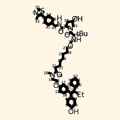 CC/C(=C(\c1ccc(O)cc1)c1ccc(OCCN(C)C(=O)CCCCCCCOCN[C@H](C(=O)N2C[C@H](O)C[C@H]2C(=O)NCc2ccc(-c3scnc3C)cc2)C(C)(C)C)cc1)c1ccccc1